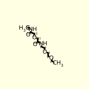 CCOCCOCCNC(=O)COCC(=O)NC